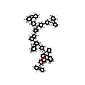 c1ccc(N(c2ccc(-c3ccc(-n4c5ccccc5c5ccccc54)cc3)cc2)c2ccc(-c3ccc(-c4cccc5cc(-c6ccc(N(c7ccc(-c8ccc(-n9c%10ccccc%10c%10ccccc%109)cc8)cc7)c7ccc(-c8cccc9oc%10ccccc%10c89)cc7)cc6)ccc45)c4oc5ccccc5c34)cc2)c(-c2cc3ccccc3c3ccccc23)c1